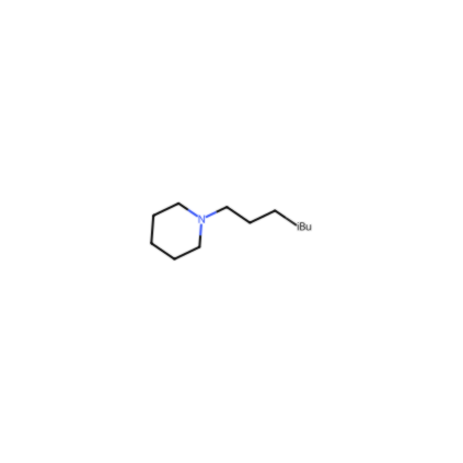 CCC(C)CCCN1CCCCC1